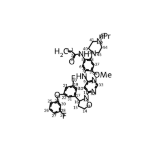 C=CC(=O)Nc1cc(Nc2cc(N3OCCC3c3cc(F)cc(Oc4cccc(F)c4)c3)ncn2)c(OC)cc1N1CCN(CCC)CC1